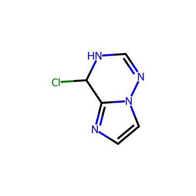 ClC1NC=Nn2ccnc21